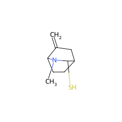 C=C1CC2CCC1N(C)C2S